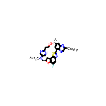 COc1cnc2c(-c3nc4cc(F)c5c(c4s3)C[C@H](CN(C(=O)O)c3cnc(CCO)nc3)O5)cc(C)cc2n1